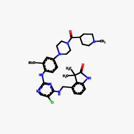 COc1cc(N2CCN(C(=O)C3CCN(C)CC3)CC2)ccc1Nc1ncc(Cl)c(NCc2cccc3c2C(C)(C)C(=O)N3)n1